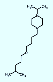 CC(C)CCCOCCCCN1CCN(C(C)C)CC1